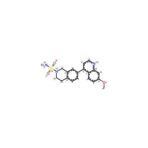 COc1ccc2c(-c3ccc4c(c3)CN(S(N)(=O)=O)CC4)ccnc2c1